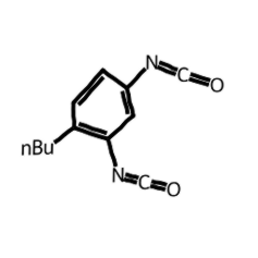 CCCCc1ccc(N=C=O)cc1N=C=O